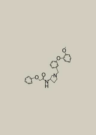 COc1ccccc1Oc1cccc(CN2CC[C@@H](NC(=O)COc3ccccc3)C2)c1